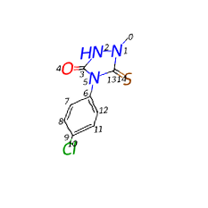 Cn1[nH]c(=O)n(-c2ccc(Cl)cc2)c1=S